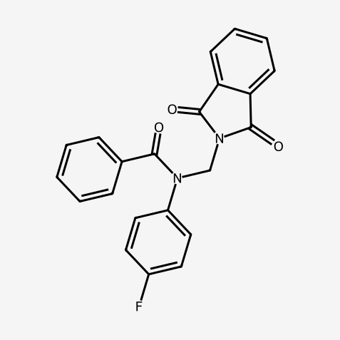 O=C1c2ccccc2C(=O)N1CN(C(=O)c1ccccc1)c1ccc(F)cc1